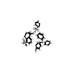 Cc1ccc(S(=O)(=O)Oc2cccc3c(S(=O)(=O)[O-])cccc23)cc1.Cc1ccc([S+](c2ccccc2)c2ccccc2)cc1